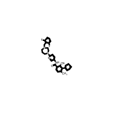 Cc1ccc(C(=O)Nc2ccc(N3CCCN(Cc4c(F)cccc4F)CC3)nc2)c(C#N)c1-c1ccccc1